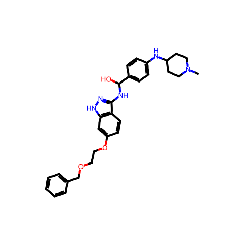 CN1CCC(Nc2ccc(C(O)Nc3n[nH]c4cc(OCCOCc5ccccc5)ccc34)cc2)CC1